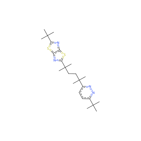 CC(C)(C)c1ccc(C(C)(C)CCC(C)(C)c2nc3sc(C(C)(C)C)nc3s2)nn1